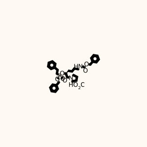 O=C(NCCCC[C@H](OP(=O)(CCc1ccccc1)OCc1ccccc1)C(=O)N1CCC[C@H]1C(=O)O)OCc1ccccc1